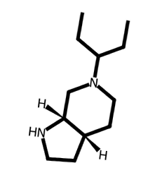 CCC(CC)N1CC[C@@H]2CCN[C@@H]2C1